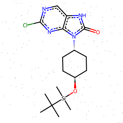 CC(C)(C)[Si](C)(C)O[C@H]1CC[C@H](n2c(=O)[nH]c3cnc(Cl)nc32)CC1